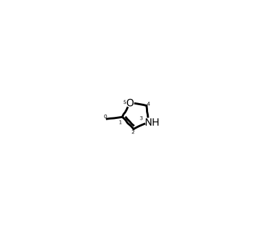 CC1=CNCO1